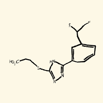 O=C(O)CSc1nnc(-c2cccc(C(F)F)c2)[nH]1